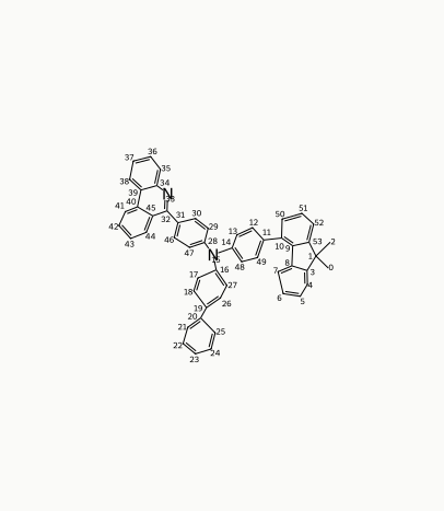 CC1(C)c2ccccc2-c2c(-c3ccc(N(c4ccc(-c5ccccc5)cc4)c4ccc(-c5nc6ccccc6c6ccccc56)cc4)cc3)cccc21